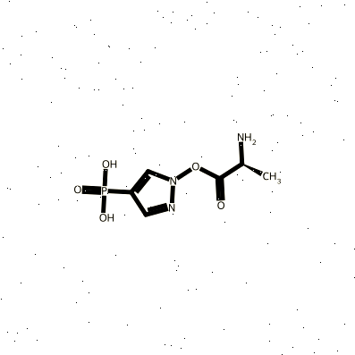 C[C@H](N)C(=O)On1cc(P(=O)(O)O)cn1